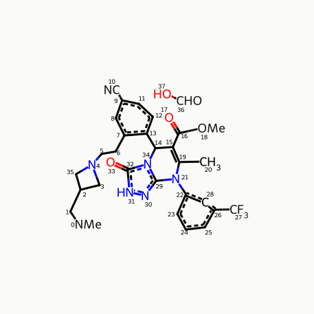 CNCC1CN(CCc2cc(C#N)ccc2C2C(C(=O)OC)=C(C)N(c3cccc(C(F)(F)F)c3)c3n[nH]c(=O)n32)C1.O=CO